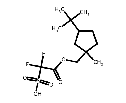 CC1(COC(=O)C(F)(F)S(=O)(=O)O)CCC(C(C)(C)C)C1